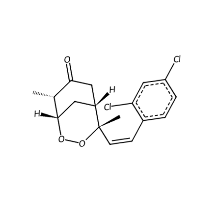 C[C@@H]1C(=O)C[C@H]2C[C@@H]1OO[C@@]2(C)/C=C\c1ccc(Cl)cc1Cl